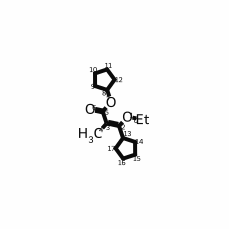 CCOC(=C(C)C(=O)OC1CCCC1)C1CCCC1